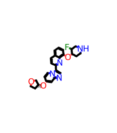 FC1CNCCC1Oc1cccc2ccc(-c3cnc4cc(O[C@H]5CCOC5)ccn34)nc12